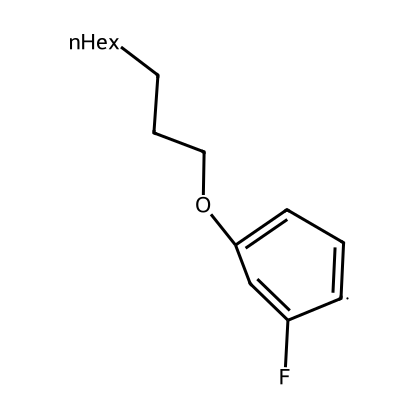 CCCCCCCCCOc1cc[c]c(F)c1